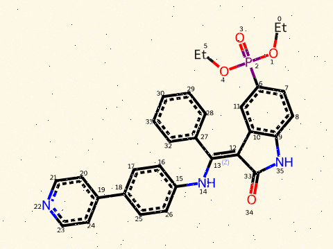 CCOP(=O)(OCC)c1ccc2c(c1)/C(=C(/Nc1ccc(-c3ccncc3)cc1)c1ccccc1)C(=O)N2